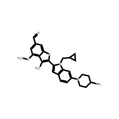 COc1cc(C=O)cc2sc(-c3cc4ccc(N5CCC(N)CC5)cc4n3CC3CC3)c(C)c12